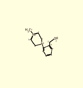 CN1CCN(c2ccccc2CO)CC1